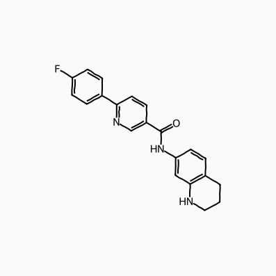 O=C(Nc1ccc2c(c1)NCCC2)c1ccc(-c2ccc(F)cc2)nc1